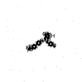 COc1ccc(C=N[C@H](COc2ccc(-c3ccc(OC(F)(F)F)cc3)cc2)CN2C(=O)NC(C)(C)C2=O)cc1